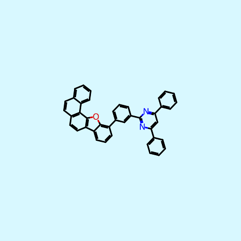 c1ccc(-c2cc(-c3ccccc3)nc(-c3cccc(-c4cccc5c4oc4c5ccc5ccc6ccccc6c54)c3)n2)cc1